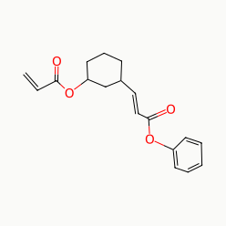 C=CC(=O)OC1CCCC(/C=C/C(=O)Oc2ccccc2)C1